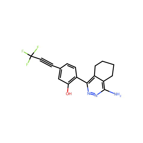 Nc1nnc(-c2ccc(C#CC(F)(F)F)cc2O)c2c1CCCC2